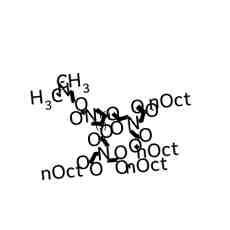 CCCCCCCCOC(=O)CN(CC(=O)OCCCCCCCC)CC(=O)O[C@H]1CN(C(=O)OCCN(C)C)C[C@@H]1OC(=O)CN(CC(=O)OCCCCCCCC)CC(=O)OCCCCCCCC